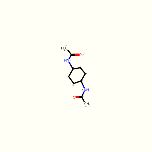 CC(=O)NC1CCC(NC(C)=O)CC1